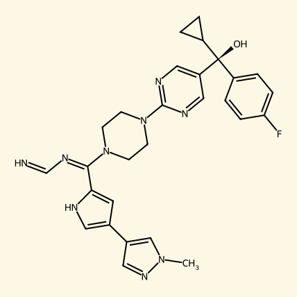 Cn1cc(-c2c[nH]c(/C(=N\C=N)N3CCN(c4ncc([C@@](O)(c5ccc(F)cc5)C5CC5)cn4)CC3)c2)cn1